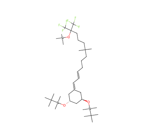 CC(C)(CCCC=CC=C1C[C@@H](O[Si](C)(C)C(C)(C)C)C[C@H](O[Si](C)(C)C(C)(C)C)C1)CCCC(O[Si](C)(C)C)(C(F)(F)F)C(F)(F)F